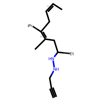 C#CCNNC(CC)C/C(C)=C(\C/C=C\C)C(C)C